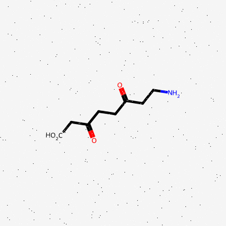 NCCC(=O)CCC(=O)CC(=O)O